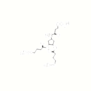 CCCCCCCCCCCCCC(=O)OC1CC(NC(=O)CCC(=O)O)CC1OC(=O)CCCCCCCCCCCCC